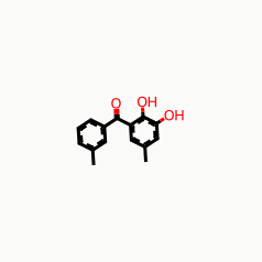 Cc1cccc(C(=O)c2cc(C)cc(O)c2O)c1